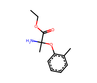 CCOC(=O)C(C)(N)Oc1ccccc1C